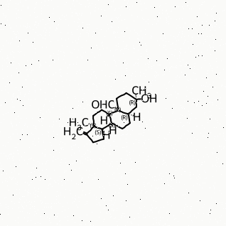 C=C1CC[C@H]2[C@@H]3CC[C@@H]4C[C@](C)(O)CC[C@]4(C=O)[C@H]3CC[C@]12C